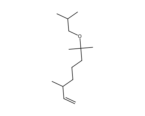 C=CC(C)CCCC(C)(C)OCC(C)C